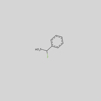 O=S(=O)(O)C(F)c1ccccc1